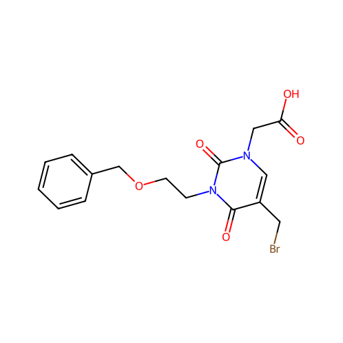 O=C(O)Cn1cc(CBr)c(=O)n(CCOCc2ccccc2)c1=O